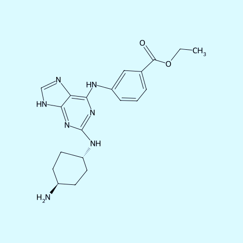 CCOC(=O)c1cccc(Nc2nc(N[C@H]3CC[C@H](N)CC3)nc3[nH]cnc23)c1